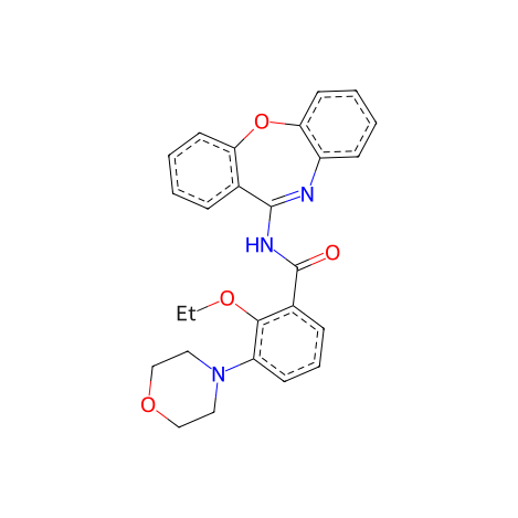 CCOc1c(C(=O)NC2=Nc3ccccc3Oc3ccccc32)cccc1N1CCOCC1